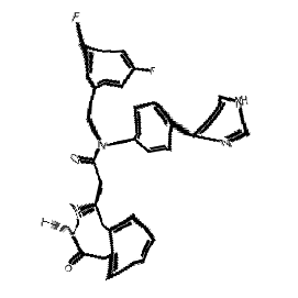 O=C(Cc1n[nH]c(=O)c2ccccc12)N(Cc1cc(F)cc(F)c1)c1ccc(-c2c[nH]cn2)cc1